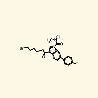 CN(C)C(=O)n1cc(C(=O)CCCCCBr)c2ccc(-c3ccc(F)cc3)cc21